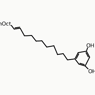 CCCCCCCCC=CCCCCCCCCCc1cc(O)cc(O)c1